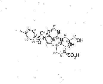 Cc1ccc(S(=O)(=O)n2ccc3c(N(CC(O)CO)C4CCCN(C(=O)O)C4)ncnc32)cc1